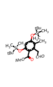 COC(=O)c1c(O[Si](C)(C)C(C)(C)C)cc(O[Si](C)(C)C(C)(C)C)c(C)c1CC=O